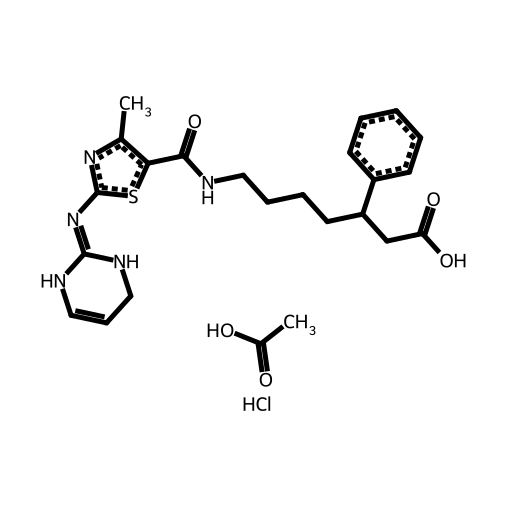 CC(=O)O.Cc1nc(N=C2NC=CCN2)sc1C(=O)NCCCCC(CC(=O)O)c1ccccc1.Cl